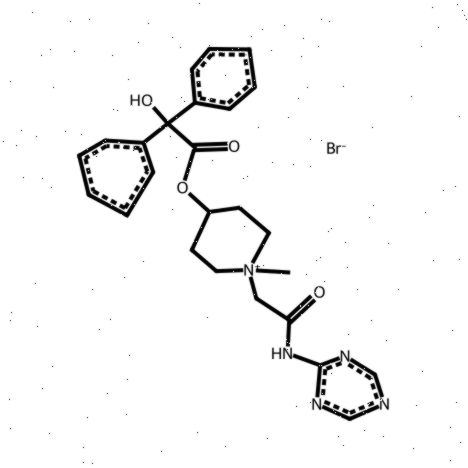 C[N+]1(CC(=O)Nc2ncncn2)CCC(OC(=O)C(O)(c2ccccc2)c2ccccc2)CC1.[Br-]